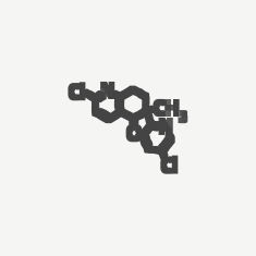 CC1(c2ccc(Cl)cn2)CCc2nc(Cl)ccc2C1=O